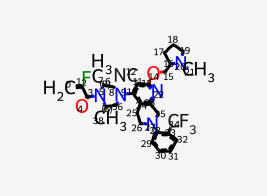 C=C(F)C(=O)N1[C@H](C)CN(c2c(C#N)c(OCC3CCCN3C)nc3c2CCN(c2ccccc2C(F)(F)F)C3)C[C@@H]1C